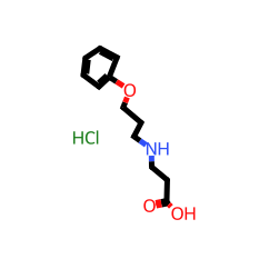 Cl.O=C(O)CCNCCCOc1ccccc1